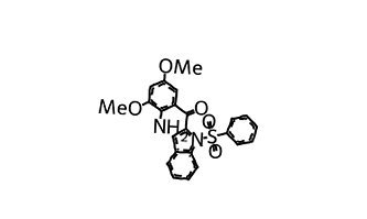 COc1cc(OC)c(N)c(C(=O)c2cc3ccccc3n2S(=O)(=O)c2ccccc2)c1